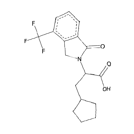 O=C(O)C(CC1CCCC1)N1Cc2c(cccc2C(F)(F)F)C1=O